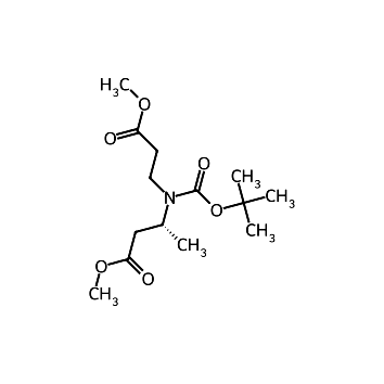 COC(=O)CCN(C(=O)OC(C)(C)C)[C@H](C)CC(=O)OC